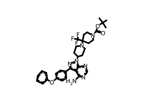 CC(C)(C)OC(=O)N1CCC(N2CCC(n3nc(-c4ccc(Oc5ccccc5)cc4)c4c(N)ncnc43)CC2)(C(F)(F)F)CC1